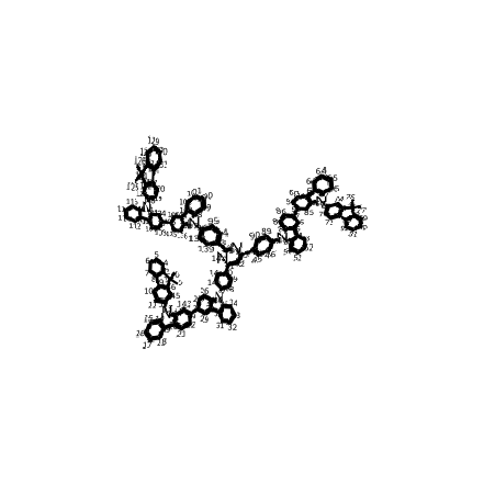 CC1(C)c2ccccc2-c2ccc(-n3c4ccccc4c4ccc(-c5ccc6c(c5)c5ccccc5n6-c5ccc(-c6cc(-c7ccc(-n8c9ccccc9c9cc(-c%10ccc%11c%12ccccc%12n(-c%12ccc%13c(c%12)C(C)(C)c%12ccccc%12-%13)c%11c%10)ccc98)cc7)nc(-c7ccc(-n8c9ccccc9c9cc(-c%10ccc%11c%12ccccc%12n(-c%12ccc%13c(c%12)C(C)(C)c%12ccccc%12-%13)c%11c%10)ccc98)cc7)n6)cc5)cc43)cc21